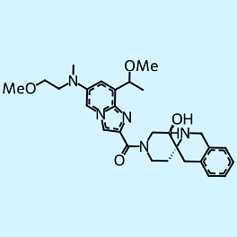 COCCN(C)c1cc(C(C)OC)c2nc(C(=O)N3CC[C@]4(Cc5ccccc5CN4)[C@H](O)C3)cn2c1